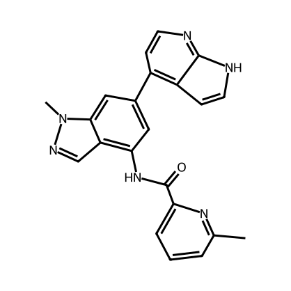 Cc1cccc(C(=O)Nc2cc(-c3ccnc4[nH]ccc34)cc3c2cnn3C)n1